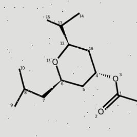 CC(=O)O[C@@H]1C[C@@H](CC(C)C)O[C@@H](C(C)C)C1